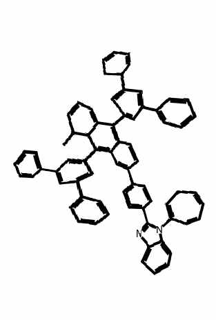 CC1C=CC=C2C(c3cc(-c4ccccc4)cc(C4C=CC=CC4)c3)=c3ccc(C4=C=C=C(c5nc6ccccc6n5C5=CCC=CC=C5)C=C4)cc3=C(c3cc(-c4ccccc4)cc(-c4ccccc4)c3)C21